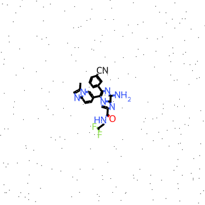 Cc1cnc2ccc(-c3c(-c4cccc(C#N)c4)nc(N)c4nc(C(=O)NCC(F)F)cn34)cn12